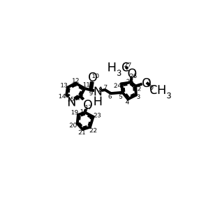 COc1ccc(CCNC(=O)c2cccnc2Oc2ccccc2)cc1OC